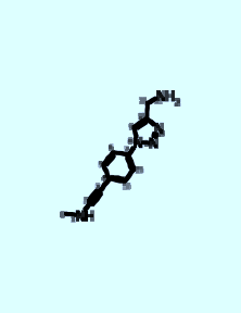 CNC#Cc1ccc(-n2cc(CN)nn2)cc1